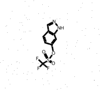 O=S(=O)(Oc1ccc2cn[nH]c2c1)C(F)(F)F